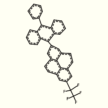 FC(F)(F)C(F)(F)c1cc2ccc3cc(-c4c5ccccc5c(-c5ccccc5)c5ccccc45)cc4ccc(c1)c2c34